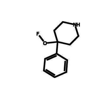 FOC1(c2ccccc2)CCNCC1